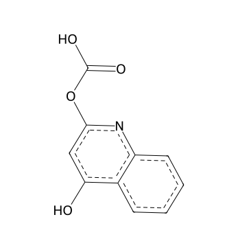 O=C(O)Oc1cc(O)c2ccccc2n1